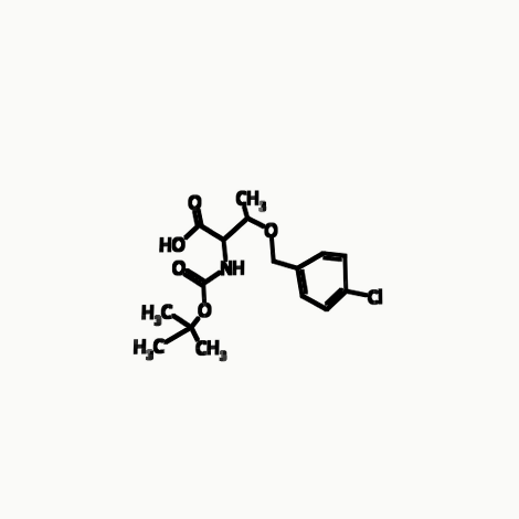 CC(OCc1ccc(Cl)cc1)C(NC(=O)OC(C)(C)C)C(=O)O